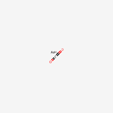 O=C=O.[AsH3]